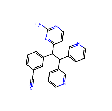 N#Cc1cccc(C(c2ccnc(N)n2)C(c2cccnc2)c2cccnc2)c1